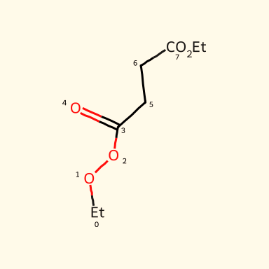 CCOOC(=O)CCC(=O)OCC